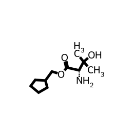 CC(C)(O)[C@H](N)C(=O)OCC1CCCC1